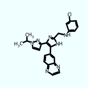 CC(C)n1ccc(-c2nc(CNc3cccc(Cl)c3)[nH]c2-c2ccc3nccnc3c2)n1